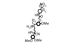 CCCC(C#N)(CCCN(C)C(C)c1ccc(OC)c(OCC(=O)NN2CCC(C(C)O[N+](=O)[O-])CC2)c1)c1ccc(OC)c(OC)c1